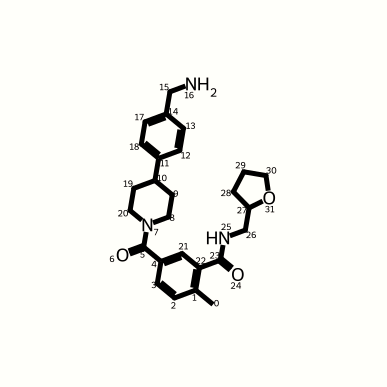 Cc1ccc(C(=O)N2CCC(c3ccc(CN)cc3)CC2)cc1C(=O)NCC1CCCO1